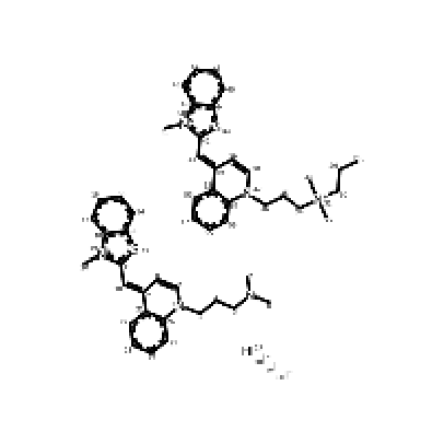 CN(C)CCCN1C=CC(=Cc2sc3ccccc3[n+]2C)c2ccccc21.I.[CH2]CC[N+](C)(C)CCCN1C=CC(=Cc2sc3ccccc3[n+]2C)c2ccccc21.[I-].[I-].[I-]